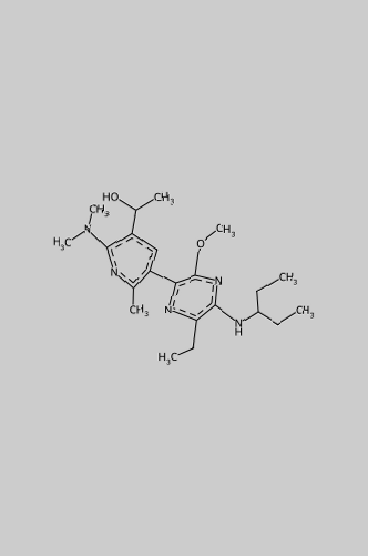 CCc1nc(-c2cc(C(C)O)c(N(C)C)nc2C)c(OC)nc1NC(CC)CC